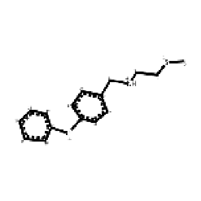 CSCCNCc1ccc(Oc2ccccc2)cc1